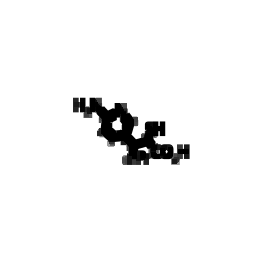 CCCC(c1ccc(N)nc1)C(S)C(=O)O